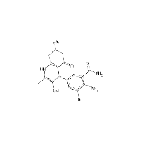 CCCC1CC(=O)C2=C(C1)NC(C)=C(C#N)C2c1cc(Br)c(N)c(C(N)=O)c1